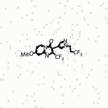 COc1ccn2c(=O)c(-c3cnn(CCC(F)(F)F)c3)c(C(F)(F)F)nc2c1